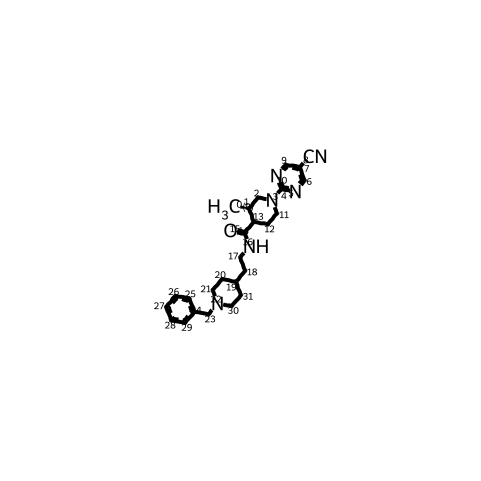 C[C@H]1CN(c2ncc(C#N)cn2)CCC1C(=O)NCCC1CCN(Cc2ccccc2)CC1